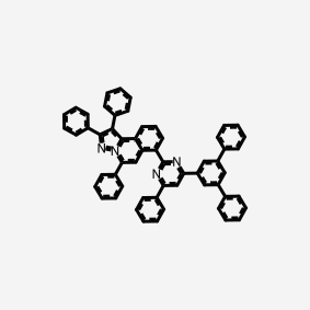 c1ccc(-c2cc(-c3ccccc3)cc(-c3cc(-c4ccccc4)nc(-c4cccc5c4cc(-c4ccccc4)n4nc(-c6ccccc6)c(-c6ccccc6)c54)n3)c2)cc1